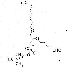 CCCCCCCCCCCCCCCCOC[C@@H](COP(=O)([O-])OCC[N+](C)(C)C)OCCCCC=O